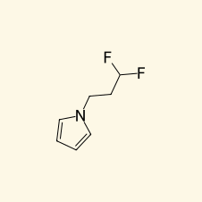 FC(F)CCn1cccc1